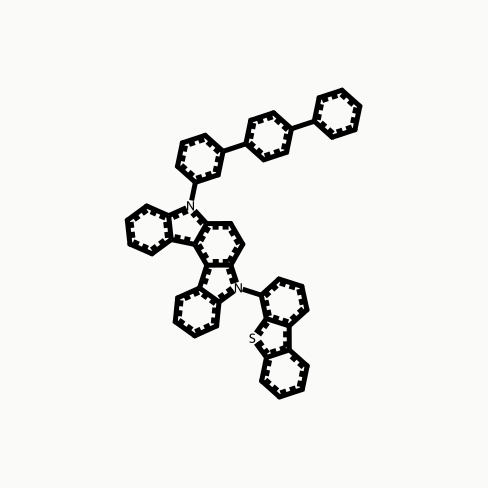 c1ccc(-c2ccc(-c3cccc(-n4c5ccccc5c5c6c7ccccc7n(-c7cccc8c7sc7ccccc78)c6ccc54)c3)cc2)cc1